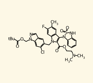 Cc1cc2c(N3c4ccccc4NS3(=O)=O)c(C(=O)OCCN(C)C)n(Cc3cc4cnn(COC(=O)C(C)(C)C)c4cc3Cl)c2cc1F